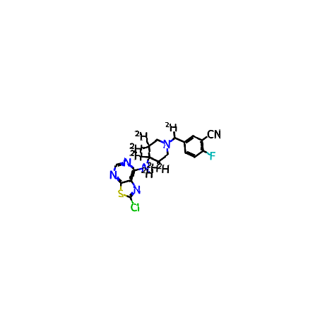 [2H]C(c1ccc(F)c(C#N)c1)N1CC([2H])([2H])C([2H])(N([2H])c2ncnc3sc(Cl)nc23)C([2H])([2H])C1